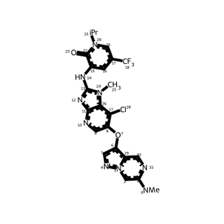 CNc1cn2ncc(Oc3cnc4nc(Nc5cc(C(F)(F)F)cn(C(C)C)c5=O)n(C)c4c3Cl)c2cn1